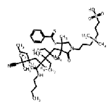 CCCCNC(=O)C(C)(CC(C)(CCC)C(C)(C)C#N)C(C)(CC)C(C)(CC)CC1(C)C(=O)N(CCC[N+](C)(C)CCCS(=O)(=O)O)CC1(C)SC(=S)c1ccccc1